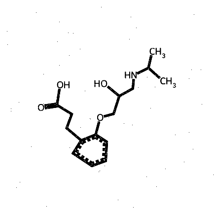 CC(C)NCC(O)COc1ccccc1CCC(=O)O